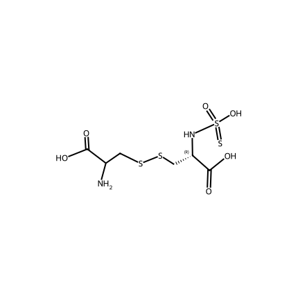 NC(CSSC[C@H](NS(=O)(O)=S)C(=O)O)C(=O)O